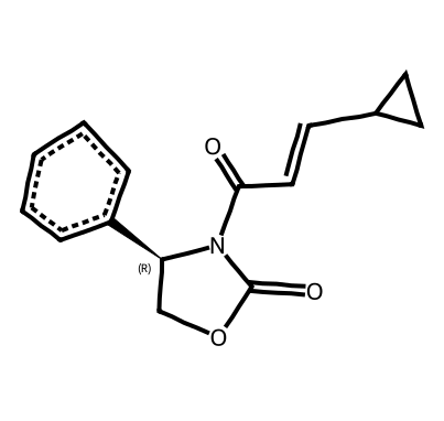 O=C(C=CC1CC1)N1C(=O)OC[C@H]1c1ccccc1